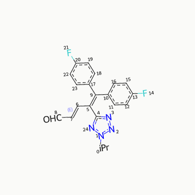 CC(C)n1nnc(C(/C=C/C=O)=C(c2ccc(F)cc2)c2ccc(F)cc2)n1